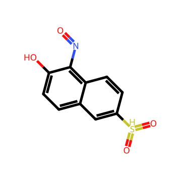 O=Nc1c(O)ccc2cc([SH](=O)=O)ccc12